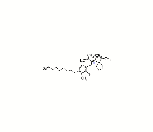 C=C(C)/C(Cc1ccc(CCCCCCCC[C@H](C)CC)c(C)c1F)=C(\C)C1(N(C)C)CCCC1